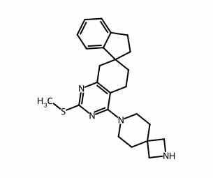 CSc1nc2c(c(N3CCC4(CC3)CNC4)n1)CCC1(CCc3ccccc31)C2